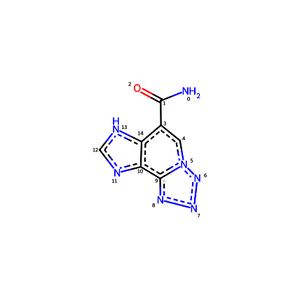 NC(=O)c1cn2nnnc2c2nc[nH]c12